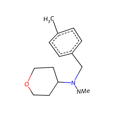 CNN(Cc1ccc(C)cc1)C1CCOCC1